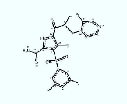 Cc1cc(C)cc(S(=O)(=O)c2c(C(N)=O)[nH]c(C(=O)N(C)Cc3ccncc3Cl)c2C)c1